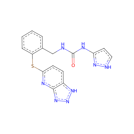 O=C(NCc1ccccc1Sc1ccc2[nH]nnc2n1)Nc1cc[nH]n1